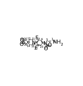 NC[C@H]1CN(c2cc(F)c(N3CCC4(CC3)CS(=O)(=O)C4)c(F)c2)C(=O)O1